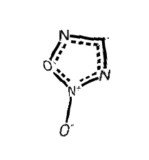 [O-][n+]1n[c]no1